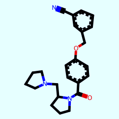 N#Cc1cccc(COc2ccc(C(=O)N3CCCC3CN3CCCC3)cc2)c1